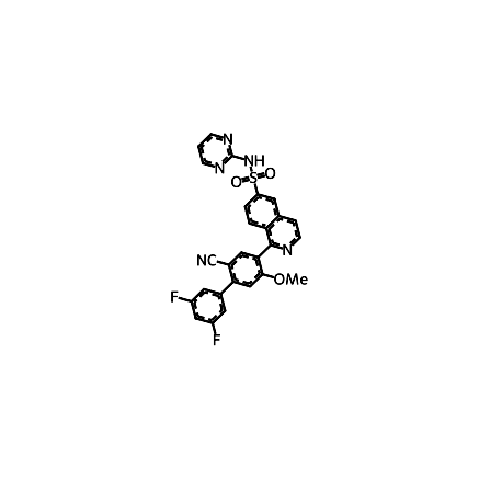 COc1cc(-c2cc(F)cc(F)c2)c(C#N)cc1-c1nccc2cc(S(=O)(=O)Nc3ncccn3)ccc12